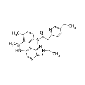 CCc1ccc(CC(=O)Nc2ccc(C)c([C@H](C)Nc3cnc4cn(CC)nc4n3)c2)nc1